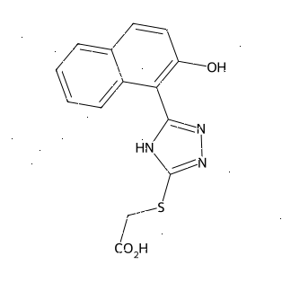 O=C(O)CSc1nnc(-c2c(O)ccc3ccccc23)[nH]1